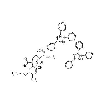 CCCCC(CC)CC(C(=O)O)C(CC(CC)CCCC)(C(=O)O)S(=O)(=O)O.c1ccc(C2=NN(c3ccccc3)N(c3ccccc3)N2)cc1.c1ccc(C2=NN(c3ccccc3)N(c3ccccc3)N2)cc1